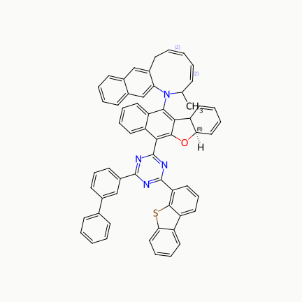 CC1/C=C\C=C/Cc2cc3ccccc3cc2N1c1c2c(c(-c3nc(-c4cccc(-c5ccccc5)c4)nc(-c4cccc5c4sc4ccccc45)n3)c3ccccc13)O[C@@H]1C=CC=CC21